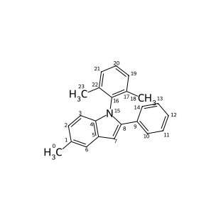 Cc1ccc2c(c1)cc(-c1ccccc1)n2-c1c(C)cccc1C